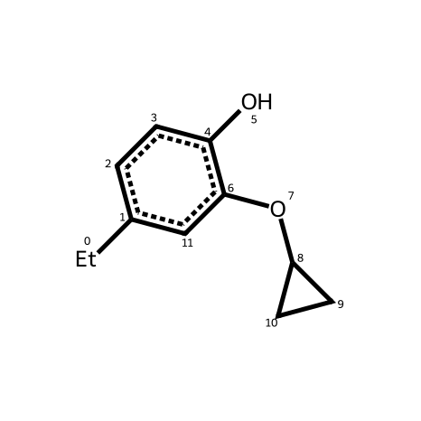 CCc1ccc(O)c(OC2CC2)c1